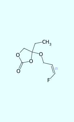 CCC1(OC/C=C\F)COC(=O)O1